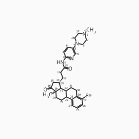 CN1CCN(c2ccc(NC(=O)CC[C@@H]3CC(=O)[C@@]4(C)CCC5c6cccc(F)c6CCC5C34)nc2)CC1